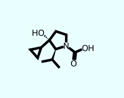 CC(C)[C@@H]1N(C(=O)O)CC[C@]1(O)C1CC1